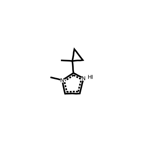 Cn1ccnc1C1(C)CC1.I